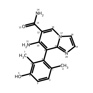 Cc1ccc(O)c(C)c1-c1c(N)c(C(N)=O)cn2ccnc12